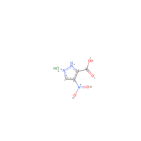 Cl.O=C(O)c1[nH]ncc1[N+](=O)[O-]